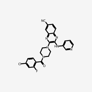 N#Cc1ccc2nc(Nc3cccnc3)c(N3CCN(C(=O)c4ccc(Cl)cc4F)CC3)nc2c1